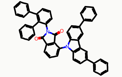 O=C1c2cccc(-n3c4ccc(-c5ccccc5)cc4c4cc(-c5ccccc5)ccc43)c2C(=O)N1c1cccc(-c2ccccc2)c1-c1ccccc1